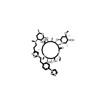 CC[C@H]1OC(=O)[C@H](C)[C@@H](O[C@H]2C[C@@](C)(OC)[C@@H](O)[C@H](C)O2)[C@H](C)[C@@H](O[C@@H]2O[C@H](C)C[C@H](N(C)CCc3cn(CCc4ccc(-n5ccnn5)cc4)nn3)[C@H]2O)[C@](C)(O)C[C@@H](C)CN(C)[C@H](C)[C@@H](O)[C@]1(C)O